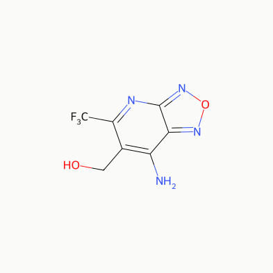 Nc1c(CO)c(C(F)(F)F)nc2nonc12